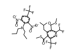 CCCN(CCC)c1c([N+](=O)[O-])cc(C(F)(F)F)cc1[N+](=O)[O-].CSC(=O)c1c(C(F)F)nc(C(F)(F)F)c(C(=O)SC)c1CC(C)C